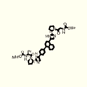 COC(=O)NCC(=O)N1CCC[C@H]1c1ncc(-c2ccc(-c3ccc(-c4cnc([C@@H]5CCCN5C(=O)[C@@H](NC(=O)OC)C(C)C)[nH]4)cc3)c3ccccc23)[nH]1